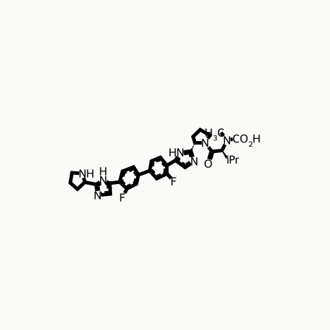 CC(C)[C@@H](C(=O)N1CCC[C@H]1c1ncc(-c2ccc(-c3ccc(-c4cnc(C5CCCN5)[nH]4)c(F)c3)cc2F)[nH]1)N(C)C(=O)O